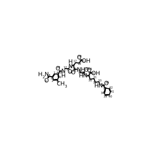 Cc1cc(C(N)=O)cc(C(=O)NCC(=O)NC(CCC(=O)O)C(=O)NCC(=O)NC(CCCCNC(=O)c2ccccc2)C(=O)O)c1